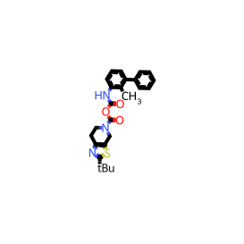 Cc1c(NC(=O)OC(=O)N2CCc3nc(C(C)(C)C)sc3C2)cccc1-c1ccccc1